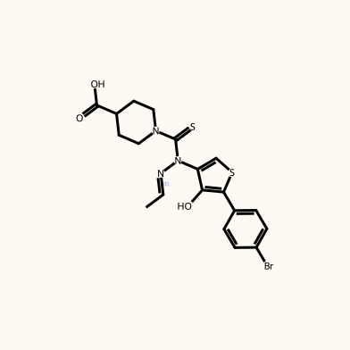 C/C=N/N(C(=S)N1CCC(C(=O)O)CC1)c1csc(-c2ccc(Br)cc2)c1O